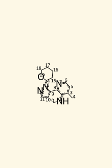 CNc1c(C)ccnc1-c1ccnn1C1CCCCO1